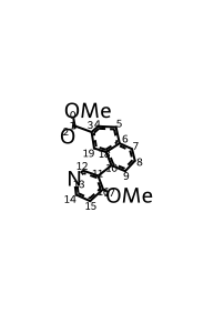 COC(=O)c1ccc2cccc(-c3cnccc3OC)c2c1